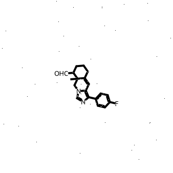 CC12Cn3cnc(-c4ccc(F)cc4)c3C=C1CCCC2C=O